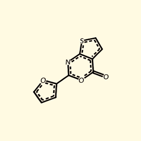 O=c1oc(-c2ccco2)nc2sccc12